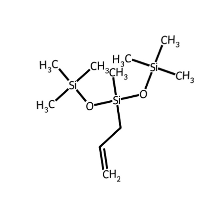 C=CC[Si](C)(O[Si](C)(C)C)O[Si](C)(C)C